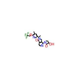 Cc1cc(C(C)N2Cc3c(ccnc3N3CC[C@H](O)C3=O)C2=O)cnc1OCC(F)(F)F